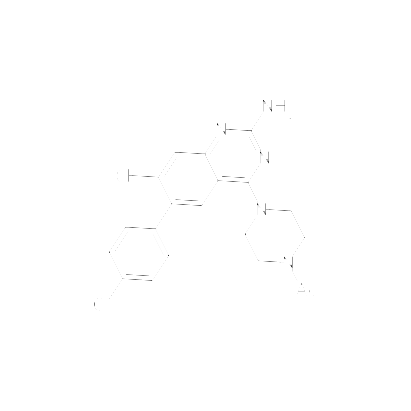 CC(=O)N1CCN(c2nc(N)nc3cc(Cl)c(-c4ccc(Cl)cc4)cc23)CC1